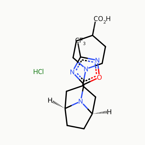 Cl.O=C(O)C1CCN(C2C[C@H]3CC[C@@H](C2)N3c2nc(C(F)(F)F)no2)CC1